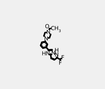 CC(=O)N1CCN(c2cccc(-c3cnc(/C=C\C(=N)C(F)F)[nH]3)c2)CC1